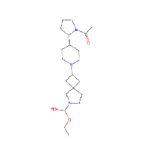 CCOC(O)N1CCC2(CC(N3CCC(C4CCCN4C(C)=O)CC3)C2)C1